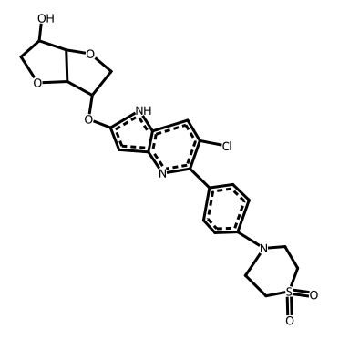 O=S1(=O)CCN(c2ccc(-c3nc4cc(OC5COC6C(O)COC56)[nH]c4cc3Cl)cc2)CC1